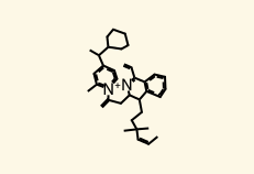 C=CC1=NC(CC(=C)[n+]2ccc(C(C)C3CCCCC3)cc2C)C(CCC(C)(C)/C=C\C)c2ccccc21